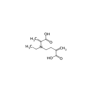 C=C(CCN(CC)C(=C)C(=O)O)C(=O)O